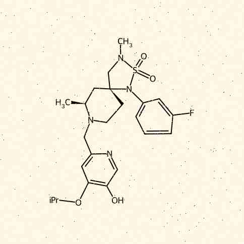 CC(C)Oc1cc(CN2CC[C@@]3(C[C@@H]2C)CN(C)S(=O)(=O)N3c2cccc(F)c2)ncc1O